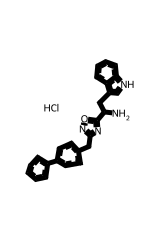 Cl.NC(Cc1c[nH]c2ccccc12)c1nc(Cc2ccc(-c3ccccc3)cc2)no1